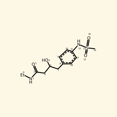 CCNC(=O)CC(O)Cc1ccc(NS(C)(=O)=O)cc1